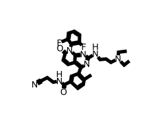 CCN(CC)CCCNc1nc(-c2cc(C(=O)NCCC#N)ccc2C)c2ccc(=O)n(-c3c(F)cccc3F)c2n1